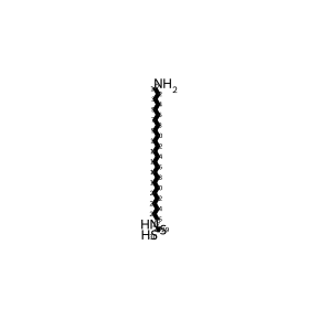 NCCCCCCCCCCCCCCCCCCCCCCCCCCNC(=S)S